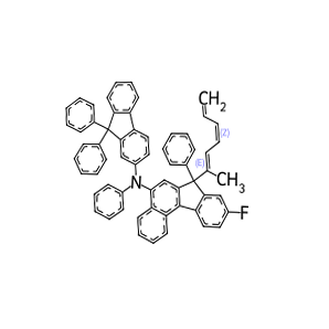 C=C/C=C\C=C(/C)C1(c2ccccc2)c2cc(F)ccc2-c2c1cc(N(c1ccccc1)c1ccc3c(c1)C(c1ccccc1)(c1ccccc1)c1ccccc1-3)c1ccccc21